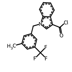 Cc1cc(Cn2cc(C(=O)Cl)c3ccccc32)cc(C(F)(F)F)c1